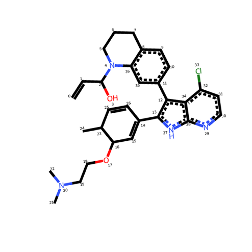 C=CC(O)N1CCCc2ccc(-c3c(C4=CC(OCCN(C)C)C(C)C=C4)[nH]c4nccc(Cl)c34)cc21